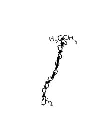 [CH2]COCCOCCOCCOCCOCCOCCOCCOCCOC(=C)C